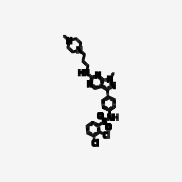 CN1CCN(CCCNc2ncc3c(-c4ccc(NS(=O)(=O)c5cccc(Cl)c5Cl)cc4)nn(C)c3n2)CC1